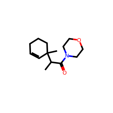 CC(C(=O)N1CCOCC1)C1(C)C=CCCC1